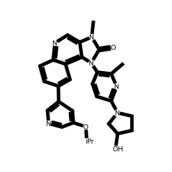 Cc1nc(N2CCC(O)C2)ccc1-n1c(=O)n(C)c2cnc3ccc(-c4cncc(OC(C)C)c4)cc3c21